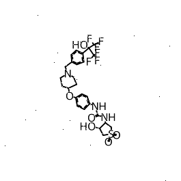 O=C(Nc1ccc(OC2CCN(Cc3ccc(C(O)(C(F)(F)F)C(F)(F)F)cc3)CC2)cc1)N[C@H]1CS(=O)(=O)C[C@H]1O